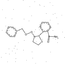 NC(=O)c1ccccc1C1SCCN1OOCc1ccccc1